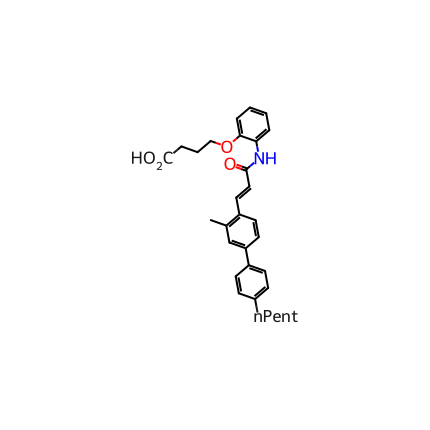 CCCCCc1ccc(-c2ccc(C=CC(=O)Nc3ccccc3OCCCC(=O)O)c(C)c2)cc1